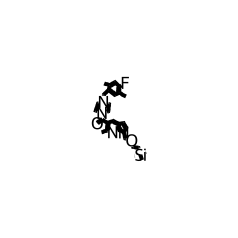 Cc1cc(CN2CCN(C(=O)c3cc4ccn(COCC[Si](C)(C)C)c4nc3C)CC2)c(C)cc1F